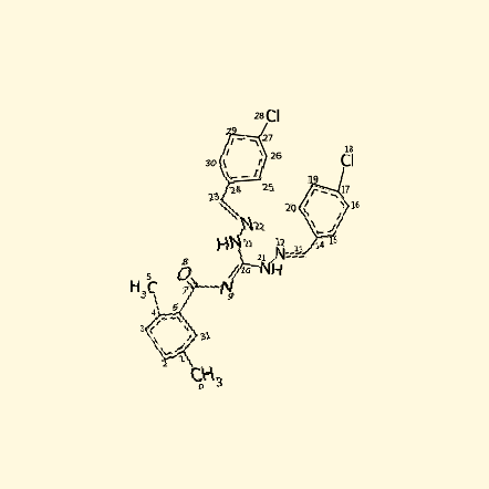 Cc1ccc(C)c(C(=O)N=C(N/N=C/c2ccc(Cl)cc2)N/N=C/c2ccc(Cl)cc2)c1